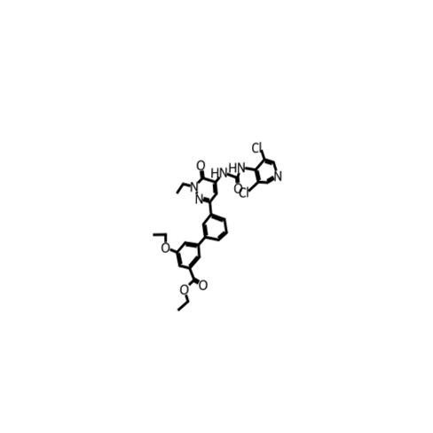 CCOC(=O)c1cc(OCC)cc(-c2cccc(-c3cc(NC(=O)Nc4c(Cl)cncc4Cl)c(=O)n(CC)n3)c2)c1